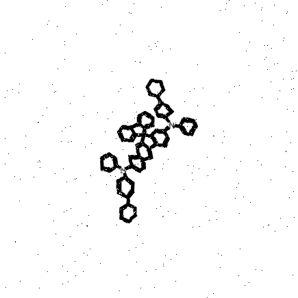 c1ccc(N(c2ccc(C3CCCCC3)cc2)c2ccc3c(c2)C2(c4ccccc4-c4ccccc42)c2cc4cc(N(c5ccccc5)c5ccc(C6CCCCC6)cc5)ccc4cc2-3)cc1